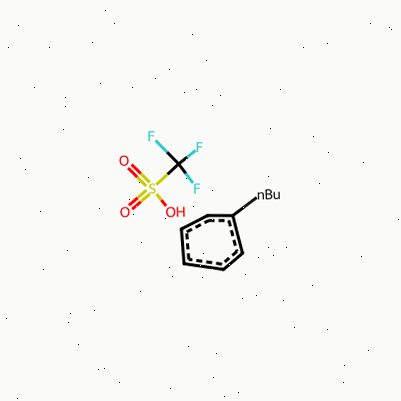 CCCCc1ccccc1.O=S(=O)(O)C(F)(F)F